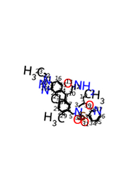 CC[C@@H]1CN(Cc2cc([C@H](CC(N)=O)c3ccc4c(nnn4CC)c3C)ccc2C)S(=O)(=O)c2cccnc2O1